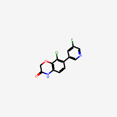 O=C1COc2c(ccc(-c3cncc(F)c3)c2Cl)N1